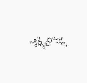 CC(C)S(=O)(=O)c1nc(C(=O)N2CCc3cc(Oc4ccc(C(F)(F)F)c(F)c4)ccc3C2)c[nH]1